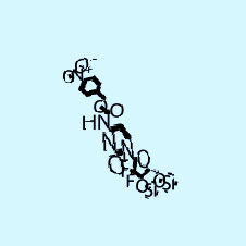 C[Si](C)(C)OC[C@H]1O[C@@H](n2ccc(NC(=O)OCc3ccc([N+](=O)[O-])cc3)nc2=O)C(F)(F)C1O[Si](C)(C)C